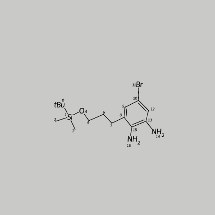 CC(C)(C)[Si](C)(C)OCCCc1cc(Br)cc(N)c1N